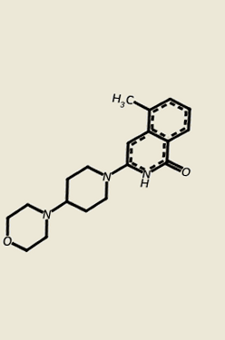 Cc1cccc2c(=O)[nH]c(N3CCC(N4CCOCC4)CC3)cc12